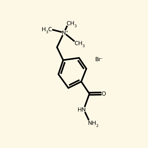 C[N+](C)(C)Cc1ccc(C(=O)NN)cc1.[Br-]